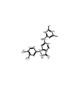 Cc1cc(Nc2cc3c(cn2)c(=O)[nH]n3-c2ccc(Cl)c(Cl)c2)nc(C)n1